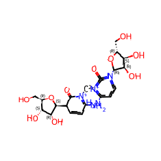 NC1=[N+]([C-2][n+]2c(N)ccn([C@@H]3O[C@H](CO)[C@@H](O)[C@H]3O)c2=O)C(=O)C([C@@H]2O[C@H](CO)[C@@H](O)[C@H]2O)C=C1